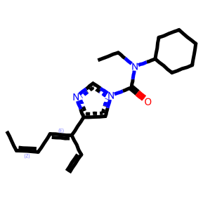 C=C/C(=C\C=C/C)c1cn(C(=O)N(CC)C2CCCCC2)cn1